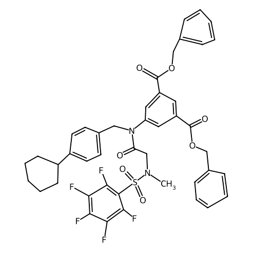 CN(CC(=O)N(Cc1ccc(C2CCCCC2)cc1)c1cc(C(=O)OCc2ccccc2)cc(C(=O)OCc2ccccc2)c1)S(=O)(=O)c1c(F)c(F)c(F)c(F)c1F